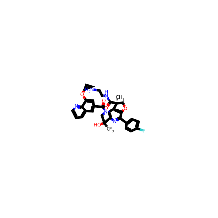 C[C@]1(C(=O)NCCN)COc2c1cc(C(O)(CNC(=O)c1cc(OC3CC3)c3ncccc3c1)C(F)(F)F)nc2-c1ccc(F)cc1